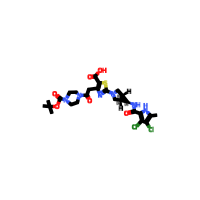 Cc1[nH]c(C(=O)N[C@H]2[C@@H]3CN(c4nc(CC(=O)N5CCN(C(=O)OC(C)(C)C)CC5)c(C(=O)O)s4)C[C@@H]32)c(Cl)c1Cl